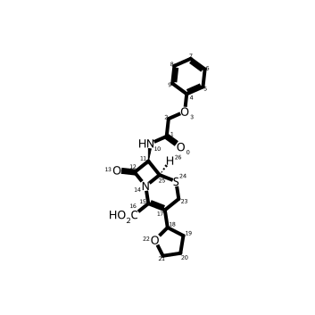 O=C(COc1ccccc1)N[C@@H]1C(=O)N2C(C(=O)O)=C(C3CCCO3)CS[C@H]12